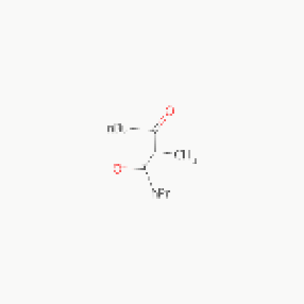 CCCCC(=O)C(C)C(=O)CCC